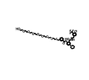 O=C(Nc1ccc(N2CCCCC2)cc1C(=O)NN=Cc1ccc(Cl)c(C(F)(F)F)c1)c1cccc(CSCCOCCOCCOCCOCCOCCOCCOCCO)c1